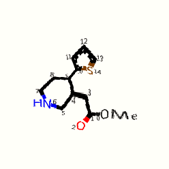 COC(=O)CC1CNCCC1c1cccs1